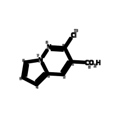 O=C(O)c1cc2cccn2nc1Cl